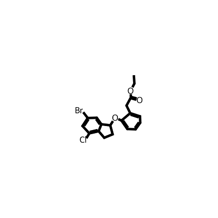 CCOC(=O)Cc1ccccc1OC1CCc2c(Cl)cc(Br)cc21